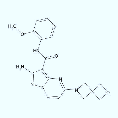 COc1ccncc1NC(=O)c1c(N)nn2ccc(N3CC4(COC4)C3)nc12